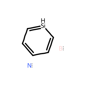 [B].[N].c1cc[siH]cc1